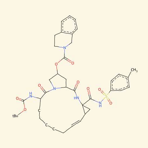 Cc1ccc(S(=O)(=O)NC(=O)C23CC2C=CCCCCCC(NC(=O)OC(C)(C)C)C(=O)N2CC(OC(=O)N4CCc5ccccc5C4)CC2C(=O)N3)cc1